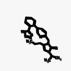 CCCc1cn(C(C)C)c(=O)n1Cc1ccc(-c2ccccc2-c2nnn[nH]2)cn1